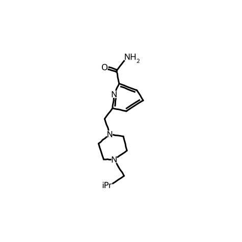 CC(C)CN1CCN(Cc2cccc(C(N)=O)n2)CC1